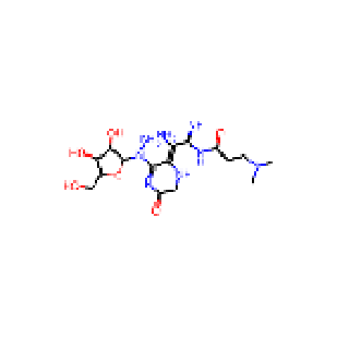 CN(C)CCC(=O)NC(=N)/C(N)=C1\NCC(=O)N=C1N(N)C1OC(CO)C(O)C1O